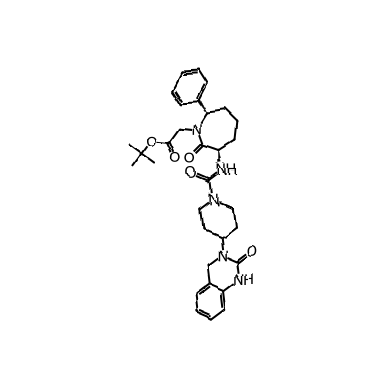 CC(C)(C)OC(=O)CN1C(=O)[C@H](NC(=O)N2CCC(N3Cc4ccccc4NC3=O)CC2)CCC[C@@H]1c1ccccc1